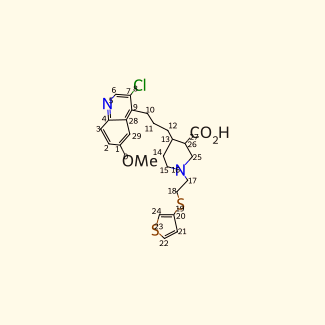 COc1ccc2ncc(Cl)c(CCCC3CCN(CCSc4ccsc4)CC3C(=O)O)c2c1